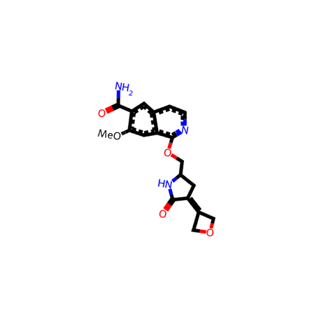 COc1cc2c(OCC3CC(=C4COC4)C(=O)N3)nccc2cc1C(N)=O